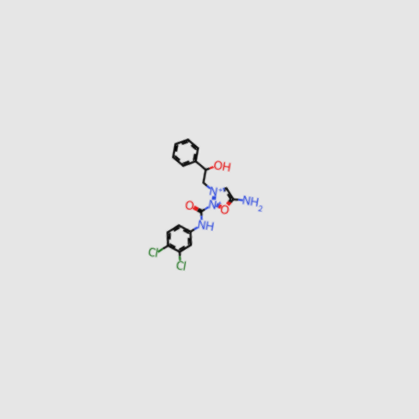 Nc1c[n+](CC(O)c2ccccc2)[n+](C(=O)Nc2ccc(Cl)c(Cl)c2)o1